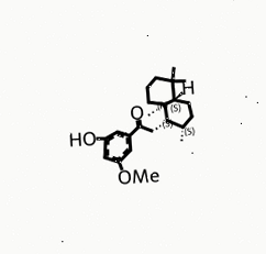 COc1cc(O)cc(C(=O)C[C@H]2[C@@H](C)CC[C@H]3C(C)(C)CCC[C@]23C)c1